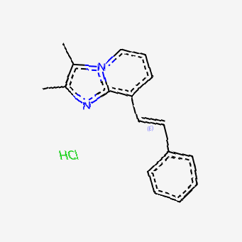 Cc1nc2c(/C=C/c3ccccc3)cccn2c1C.Cl